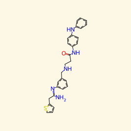 N/C(Cc1cccs1)=N\c1cccc(CNCCC(=O)Nc2ccc(Nc3ccccc3)cc2)c1